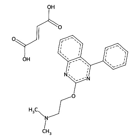 CN(C)CCOc1nc(-c2ccccc2)c2ccccc2n1.O=C(O)C=CC(=O)O